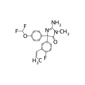 C/C=C\c1cc(C2(c3ccc(OC(F)F)cc3)N=C(N)N(C)C2=O)ccc1F